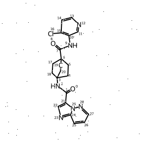 O=C(NC12CCC(C(=O)Nc3cnccc3Cl)(CC1)CC2)c1cnc2cccnn12